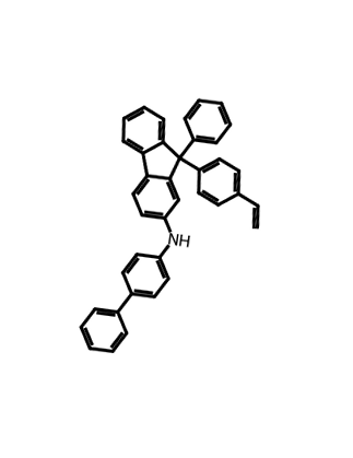 C=Cc1ccc(C2(c3ccccc3)c3ccccc3-c3ccc(Nc4ccc(-c5ccccc5)cc4)cc32)cc1